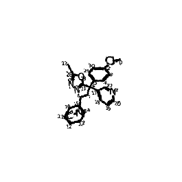 COc1ccc(C(CCN2CC3CCC2CC3)(c2cccnc2)c2nnc(C)o2)cc1